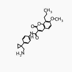 CCCc1c(OC)ccc2cc(C(=O)Nc3ccc(C4(CN)CC4)cc3)c(=O)oc12